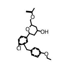 C=C(C)OCC1CC(O)CC(c2ccc(Cl)c(Cc3ccc(OCC)cc3)c2)O1